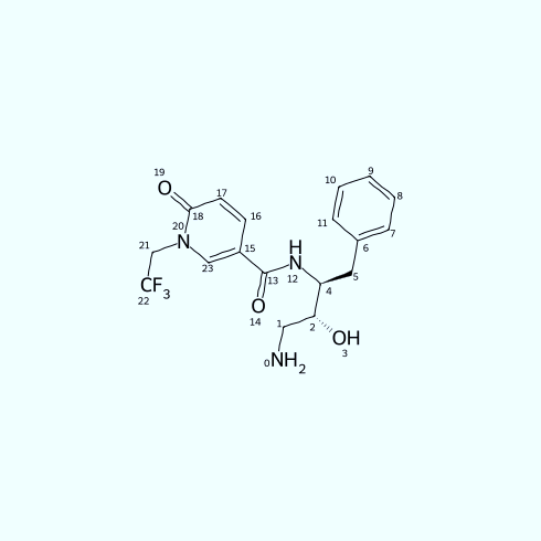 NC[C@@H](O)[C@H](Cc1ccccc1)NC(=O)c1ccc(=O)n(CC(F)(F)F)c1